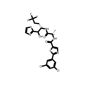 C[C@H](NC(=O)c1cnc(-c2cc(Cl)cc(Cl)c2)s1)C(=O)N[C@@H](CCC(F)(F)F)C(O)c1nccs1